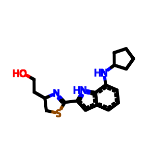 OCCC1CSC(c2cc3cccc(NC4CCCC4)c3[nH]2)=N1